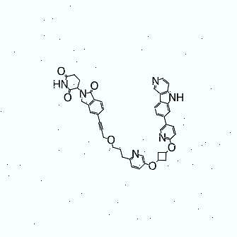 O=C1CCC(N2Cc3cc(C#CCOCCCc4ccc(OC5CC(Oc6ccc(-c7ccc8c(c7)[nH]c7ccncc78)cn6)C5)cn4)ccc3C2=O)C(=O)N1